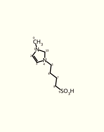 CN1C=CN(CCCCS(=O)(=O)O)C1